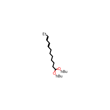 CCC=CC=CCCCCCCC(OCCCC)OCCCC